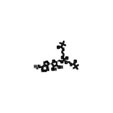 CC(C)(C)C(=O)SCCOP(=O)(OCSC(=O)C(C)(C)C)OC[C@H]1O[C@@H](c2ccc3c(N)ncnn23)[C@H](O)[C@@H]1O